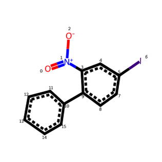 O=[N+]([O-])c1cc(I)ccc1-c1ccccc1